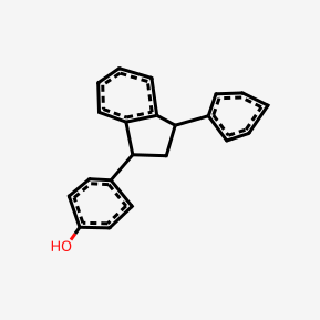 Oc1ccc(C2CC(c3ccccc3)c3ccccc32)cc1